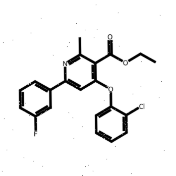 CCOC(=O)c1c(Oc2ccccc2Cl)cc(-c2cccc(F)c2)nc1C